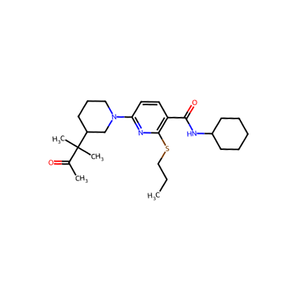 CCCSc1nc(N2CCCC(C(C)(C)C(C)=O)C2)ccc1C(=O)NC1CCCCC1